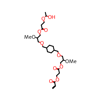 C=CC(=O)OCCC(=O)OCC(COCC1CCC(COCC(COC(=O)CCOC(C)O)OC)CC1)OC